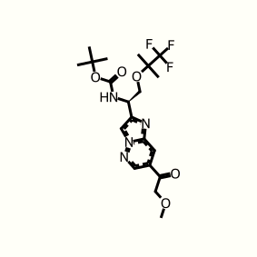 COCC(=O)c1cnn2cc([C@H](COC(C)(C)C(F)(F)F)NC(=O)OC(C)(C)C)nc2c1